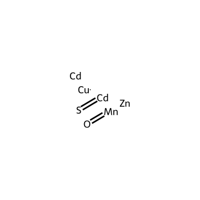 [Cd].[Cu].[O]=[Mn].[S]=[Cd].[Zn]